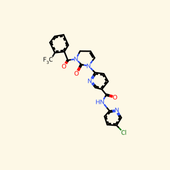 O=C(Nc1ccc(Cl)cn1)c1ccc(N2C=CCN(C(=O)c3ccccc3C(F)(F)F)C2=O)nc1